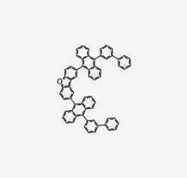 c1ccc(-c2cccc(-c3c4ccccc4c(-c4ccc5oc6ccc(-c7c8ccccc8c(-c8cccc(-c9ccccc9)c8)c8ccccc78)cc6c5c4)c4ccccc34)c2)cc1